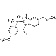 C=NCc1ccc2c3c([nH]c2c1)C(C)(C)c1ccc(OC)cc1C3=O